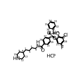 Cl.O=C(NCCCCC1CCNCC1)c1ccc(S(=O)(=O)N(Oc2ccc(F)cc2Cl)c2ccccc2)cc1